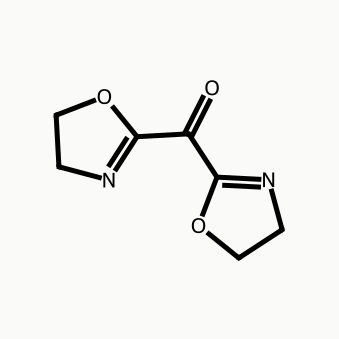 O=C(C1=NCCO1)C1=NCCO1